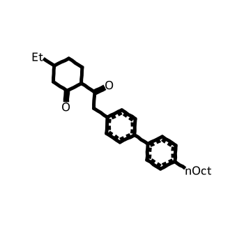 CCCCCCCCc1ccc(-c2ccc(CC(=O)C3CCC(CC)CC3=O)cc2)cc1